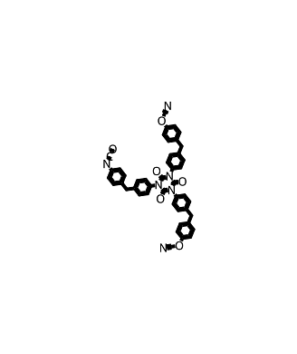 N#COc1ccc(Cc2ccc(-n3c(=O)n(-c4ccc(Cc5ccc(N=C=O)cc5)cc4)c(=O)n(-c4ccc(Cc5ccc(OC#N)cc5)cc4)c3=O)cc2)cc1